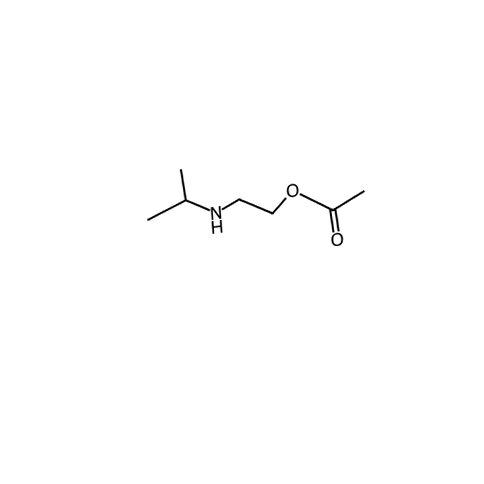 CC(=O)OCCNC(C)C